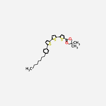 CCCCCCCCc1ccc(-c2ccc(-c3ccc(-c4ccc(B5OCC(C)(C)CO5)s4)s3)s2)cc1